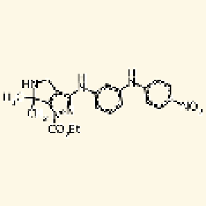 CCOC(=O)n1nc(Nc2cccc(Nc3ccc([N+](=O)[O-])cc3)c2)c2c1C(C)(C)NC2